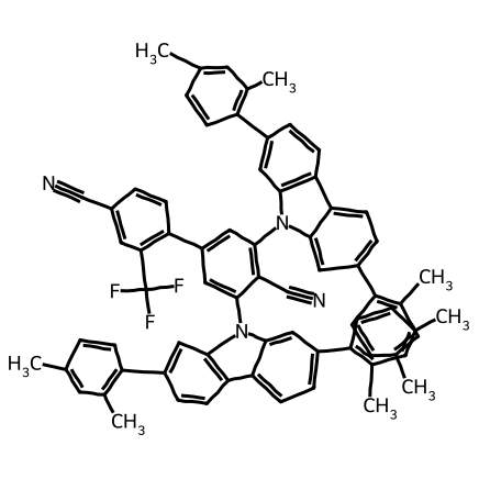 Cc1ccc(-c2ccc3c4ccc(-c5ccc(C)cc5C)cc4n(-c4cc(-c5ccc(C#N)cc5C(F)(F)F)cc(-n5c6cc(-c7ccc(C)cc7C)ccc6c6ccc(-c7ccc(C)cc7C)cc65)c4C#N)c3c2)c(C)c1